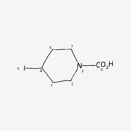 O=C(O)N1CCC(I)CC1